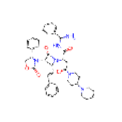 N[C@@H](NC(=O)[C@@H](CC(=O)N1CCC(N2CCCCC2)CC1)N1C(=O)[C@@H](N2C(=O)OC[C@@H]2c2ccccc2)[C@H]1/C=C/c1ccccc1)c1ccccc1